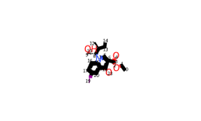 CCOC(=O)c1cn([C@H](CO)[C@@H](C)CC)c2ccc(I)cc2c1=O